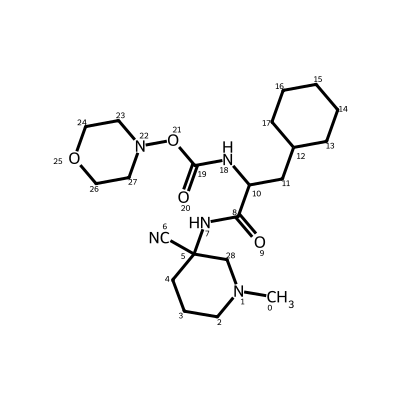 CN1CCCC(C#N)(NC(=O)C(CC2CCCCC2)NC(=O)ON2CCOCC2)C1